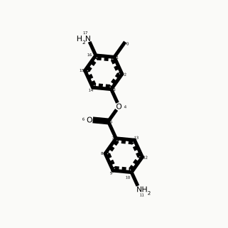 Cc1cc(OC(=O)c2ccc(N)cc2)ccc1N